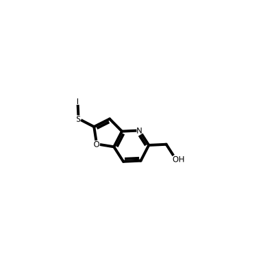 OCc1ccc2oc(SI)cc2n1